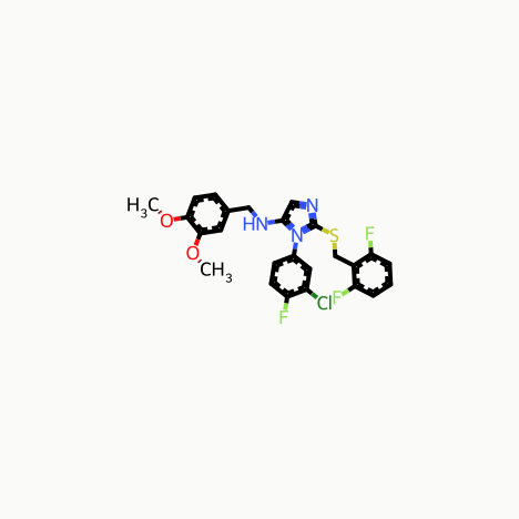 COc1ccc(CNc2cnc(SCc3c(F)cccc3F)n2-c2ccc(F)c(Cl)c2)cc1OC